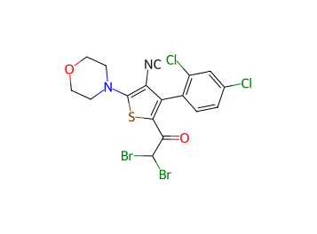 [C-]#[N+]c1c(N2CCOCC2)sc(C(=O)C(Br)Br)c1-c1ccc(Cl)cc1Cl